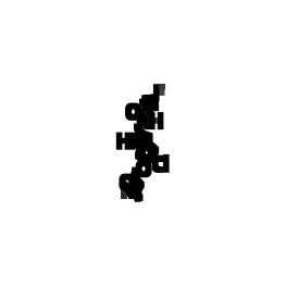 Cc1cc(COc2cc3[nH]c(CNC(=O)N4CC(F)C4)cc3cc2Cl)on1